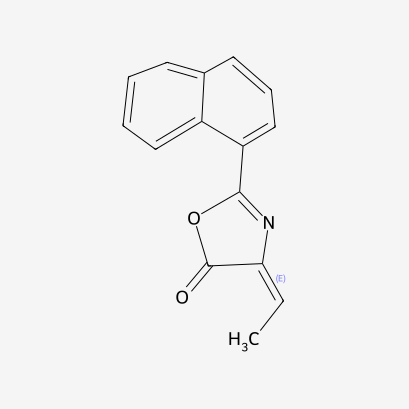 C/C=C1/N=C(c2cccc3ccccc23)OC1=O